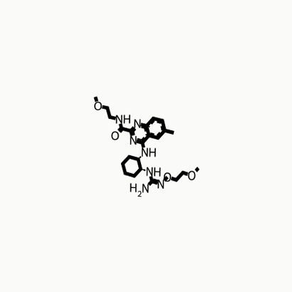 COCCNC(=O)c1nc(N[C@H]2CCCC[C@H]2N/C(N)=N\OCCOC)c2cc(C)ccc2n1